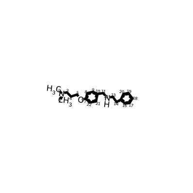 CN(C)CCCOc1ccc(CNCCc2ccccc2)cc1